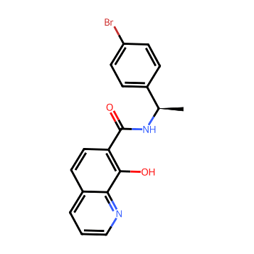 C[C@@H](NC(=O)c1ccc2cccnc2c1O)c1ccc(Br)cc1